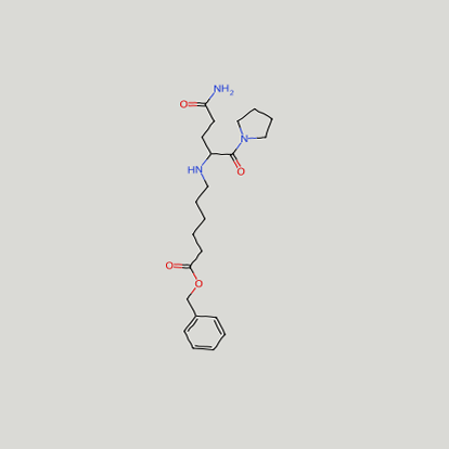 NC(=O)CCC(NCCCCCC(=O)OCc1ccccc1)C(=O)N1CCCC1